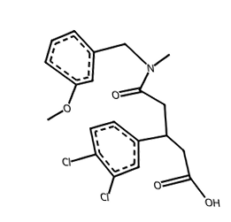 COc1cccc(CN(C)C(=O)CC(CC(=O)O)c2ccc(Cl)c(Cl)c2)c1